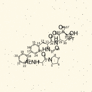 CC(=O)NCC(=O)N1CCC[C@H]1C(=O)N[C@@H](Cc1ccc(-c2ccccc2)cc1)C(=O)NC(CC(C)C)C(=O)[C@@]1(CO)CO1